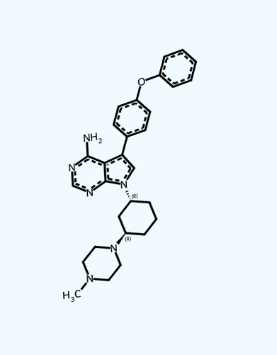 CN1CCN([C@@H]2CCC[C@@H](n3cc(-c4ccc(Oc5ccccc5)cc4)c4c(N)ncnc43)C2)CC1